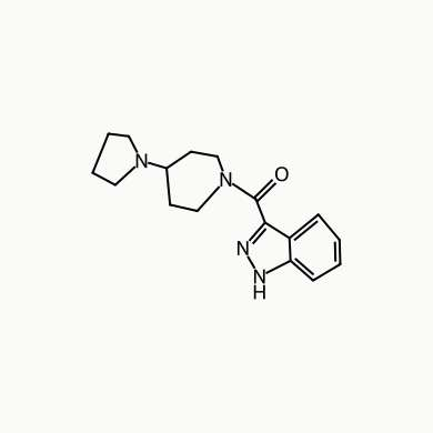 O=C(c1n[nH]c2ccccc12)N1CCC(N2CCCC2)CC1